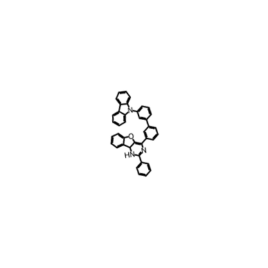 c1ccc(C2=NC(c3cccc(-c4cccc(-n5c6ccccc6c6ccccc65)c4)c3)=C3Oc4ccccc4C3N2)cc1